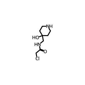 O=C(CCl)NCC1(O)CCNCC1